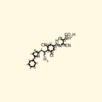 CC(Cc1nc(-c2ccccc2)cs1)c1c(Cl)cc(NN=C(C#N)C(=O)NC(=O)O)cc1Cl